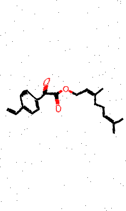 C=Cc1ccc(C(=O)C(=O)OCC=C(C)CCC=C(C)C)cc1